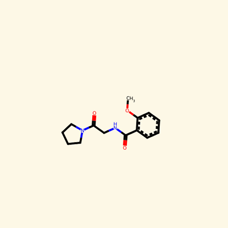 COc1ccccc1C(=O)NCC(=O)N1CCCC1